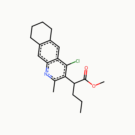 CCCC(C(=O)OC)c1c(C)nc2cc3c(cc2c1Cl)CCCC3